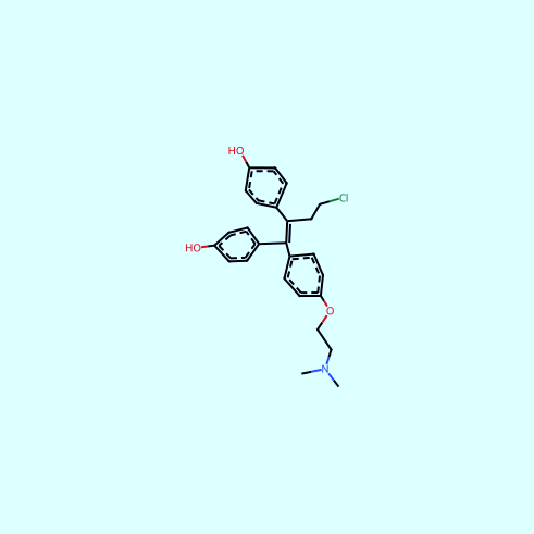 CN(C)CCOc1ccc(/C(=C(\CCCl)c2ccc(O)cc2)c2ccc(O)cc2)cc1